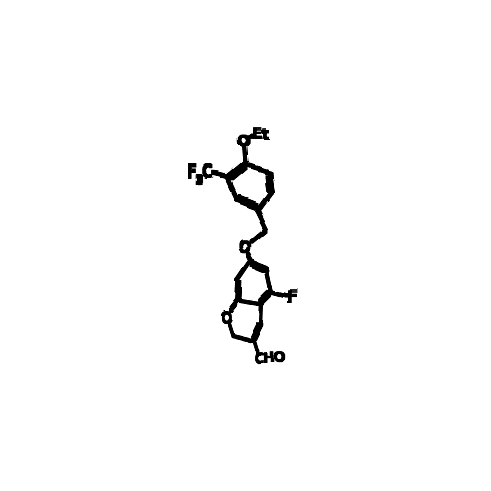 CCOc1ccc(COc2cc(F)c3c(c2)OCC(C=O)=C3)cc1C(F)(F)F